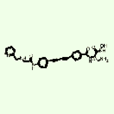 NC[C@H](NC(=O)c1ccc(C#CC#Cc2ccc(NC(=O)CNCc3ccccn3)cc2)cc1)C(=O)NO